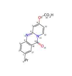 CC(C)c1ccc2nc3cc(OC(=O)O)ccn3c(=O)c2c1